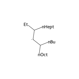 CCCCCCCCC([CH]C(CC)CCCCCCC)CCCC